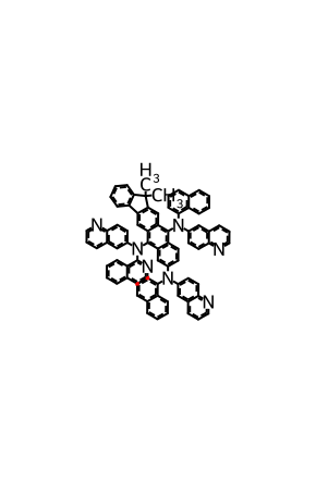 CC1(C)c2ccccc2-c2cc3c(N(c4ccc5ncccc5c4)c4nccc5ccccc45)c4cc(N(c5ccc6ncccc6c5)c5cccc6ccccc56)ccc4c(N(c4ccc5ncccc5c4)c4cccc5ccccc45)c3cc21